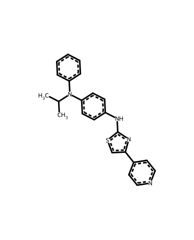 CC(C)N(c1ccccc1)c1ccc(Nc2nc(-c3ccncc3)cs2)cc1